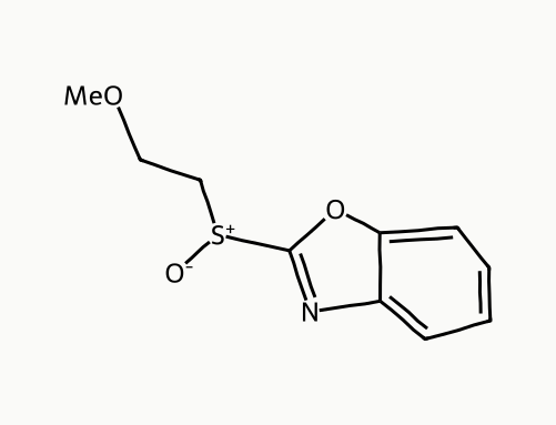 COCC[S+]([O-])c1nc2ccccc2o1